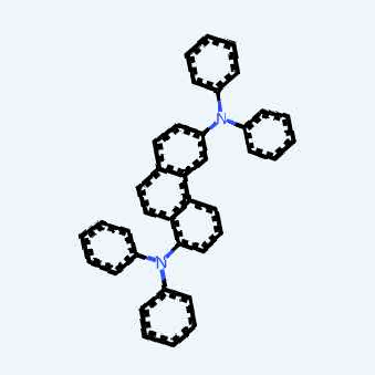 c1ccc(N(c2ccccc2)c2ccc3ccc4c(N(c5ccccc5)c5ccccc5)cccc4c3c2)cc1